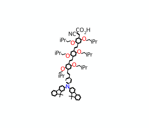 C=C(\C=C/C(=C\C)/C=C/c1cc(OCCC(C)C)c(/C=C/c2cc(OCCC(C)C)c(/C=C/c3cc(OCCC(C)C)c(/C=C(\C#N)C(=O)O)cc3OCCC(C)C)cc2OCCC(C)C)cc1OCCC(C)C)N(c1ccc2c(c1)C(C)(C)c1ccccc1-2)c1ccc2c(c1)C(C)(C)c1ccccc1-2